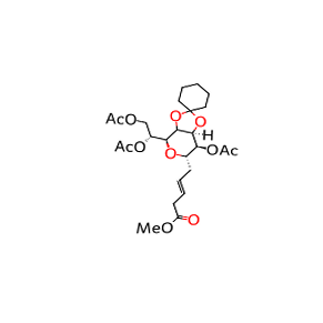 COC(=O)C/C=C/C[C@@H]1O[C@@H]([C@@H](COC(C)=O)OC(C)=O)C2OC3(CCCCC3)O[C@H]2[C@H]1OC(C)=O